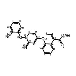 C/C=C(/C(=O)OC)c1ccccc1Oc1ccn(Oc2ccccc2C#N)c(=N)c1